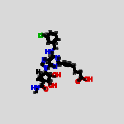 CNC(=O)[C@@]12C[C@@H]1C(n1cnc3c(NCc4cccc(Cl)c4)nc(C#CCCCC(=O)O)nc31)C(O)C2O